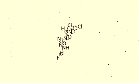 C[C@H]1c2c(Cl)cc(Cl)cc2CCN1C(=O)[C@H]1CN(c2cncc3nc(NCCN4CC(F)C4)oc23)CCO1